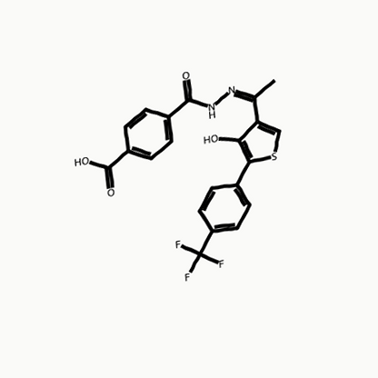 CC(=NNC(=O)c1ccc(C(=O)O)cc1)c1csc(-c2ccc(C(F)(F)F)cc2)c1O